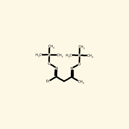 CCC(CC(C)=NO[Si](C)(C)C)=NO[Si](C)(C)C